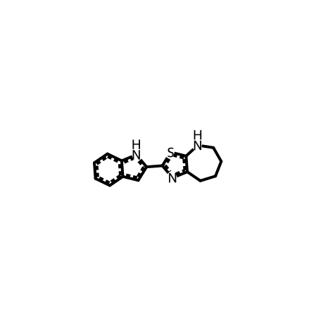 c1ccc2[nH]c(-c3nc4c(s3)NCCCC4)cc2c1